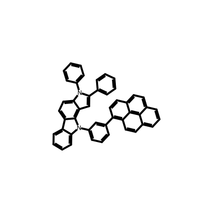 c1ccc(-c2cc3c(ccc4c5ccccc5n(-c5cccc(-c6ccc7ccc8cccc9ccc6c7c89)c5)c43)n2-c2ccccc2)cc1